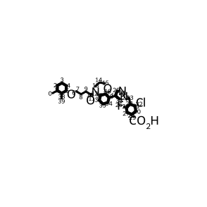 Cc1cccc(OCCCC(=O)N2CCCOc3c(-c4cnn(Cc5c(F)cc(C(=O)O)cc5Cl)c4)cccc32)c1C